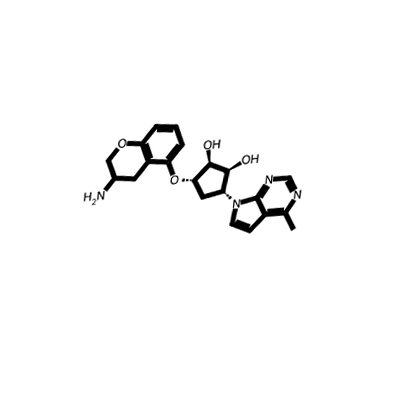 Cc1ncnc2c1ccn2[C@@H]1C[C@H](Oc2cccc3c2CC(N)CO3)[C@@H](O)[C@H]1O